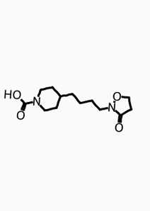 O=C(O)N1CCC(CCCCN2OCCC2=O)CC1